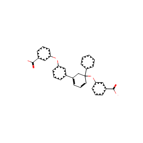 O=C(O)c1cccc(Oc2cccc(C3=CC=CC(Oc4cccc(C(=O)O)c4)(c4ccccc4)C3)c2)c1